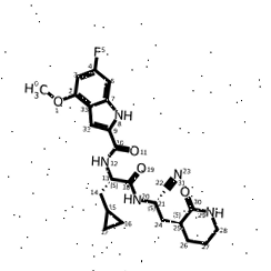 COc1cc(F)cc2[nH]c(C(=O)N[C@@H](CC3CC3)C(=O)N[C@H](C#N)C[C@@H]3CCCNC3=O)cc12